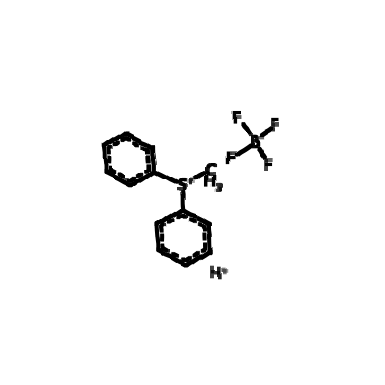 C[S+](c1ccccc1)c1ccccc1.F[B-](F)(F)F.[H+]